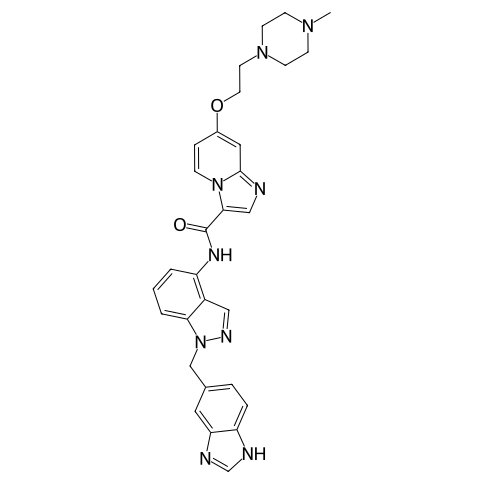 CN1CCN(CCOc2ccn3c(C(=O)Nc4cccc5c4cnn5Cc4ccc5[nH]cnc5c4)cnc3c2)CC1